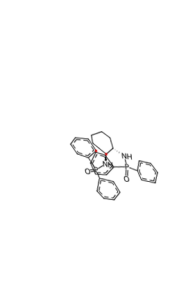 O=P(N[C@H]1CCCC[C@@H]1NP(=O)(c1ccccc1)c1ccccc1)(c1ccccc1)c1ccccc1